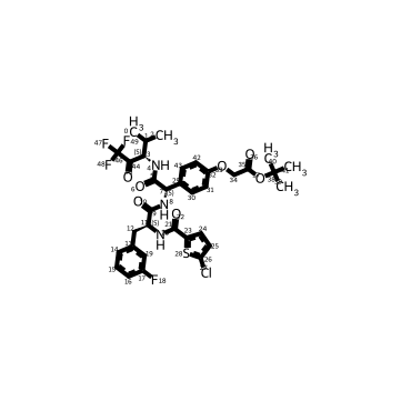 CC(C)[C@H](NC(=O)[C@@H](NC(=O)[C@H](Cc1cccc(F)c1)NC(=O)c1ccc(Cl)s1)c1ccc(OCC(=O)OC(C)(C)C)cc1)C(=O)C(F)(F)F